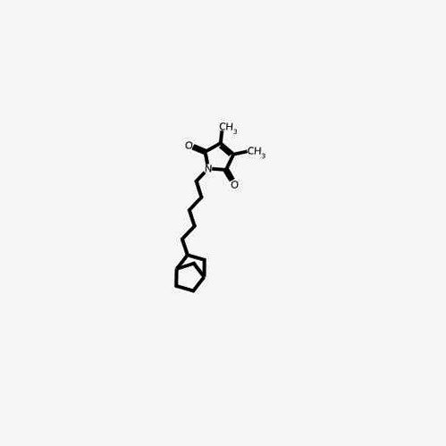 CC1=C(C)C(=O)N(CCCCCC2CC3CCC2C3)C1=O